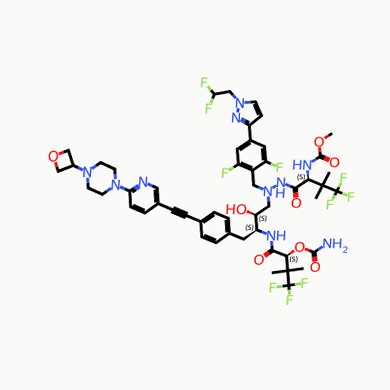 COC(=O)N[C@H](C(=O)NN(Cc1c(F)cc(-c2ccn(CC(F)F)n2)cc1F)C[C@H](O)[C@H](Cc1ccc(C#Cc2ccc(N3CCN(C4COC4)CC3)nc2)cc1)NC(=O)[C@@H](OC(N)=O)C(C)(C)C(F)(F)F)C(C)(C)C(F)(F)F